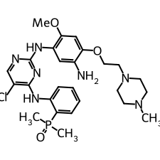 COc1cc(OCCN2CCN(C)CC2)c(N)cc1Nc1ncc(Cl)c(Nc2ccccc2P(C)(C)=O)n1